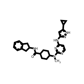 CN(c1nccc(Nc2cc(C3CC3)[nH]n2)n1)C1CCC(C(=O)NC2Cc3ccccc3C2)CC1